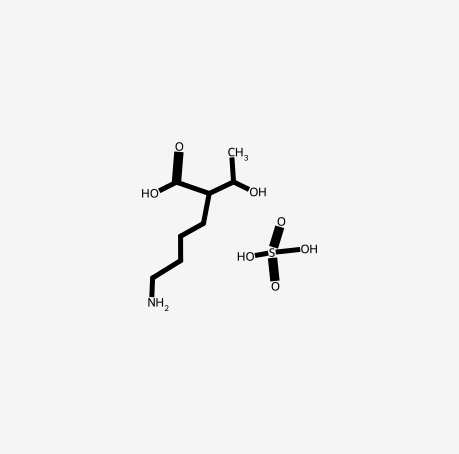 CC(O)C(CCCCN)C(=O)O.O=S(=O)(O)O